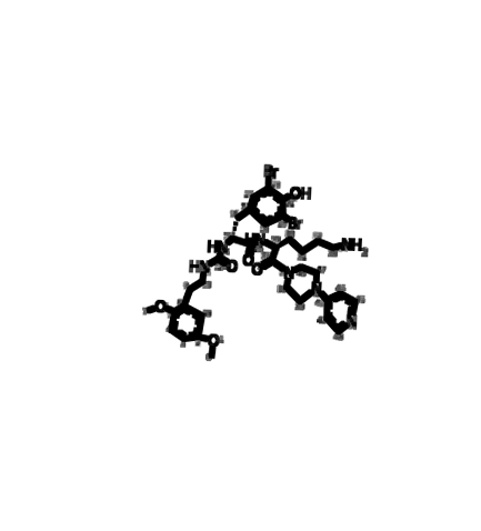 COc1ccc(OC)c(CCNC(=O)N[C@H](Cc2cc(Br)c(O)c(Br)c2)C(=O)N[C@@H](CCCCN)C(=O)N2CCN(c3ccncc3)CC2)c1